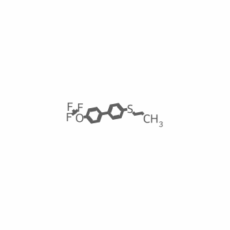 CCCSc1ccc(-c2ccc(OC(F)(F)F)cc2)cc1